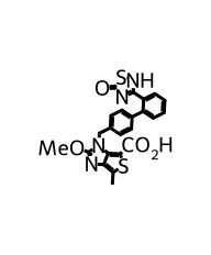 COc1nc2c(C)sc(C(=O)O)c2n1Cc1ccc(-c2ccccc2-c2nc(=O)s[nH]2)cc1